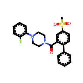 CS(=O)(=O)c1ccc(-c2ccccc2)c(C(=O)N2CCN(c3cc[c]cc3F)CC2)c1